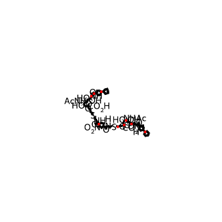 CC(=O)N[C@H]1[C@H]([C@H](O)[C@H](O)CNC(=O)c2ccc(-c3ccccc3)cc2)O[C@@](OCCCSCCNC(=O)c2ccc(C(=O)NCCSCCCO[C@]3(C(=O)O)C[C@H](O)[C@@H](NC(C)=O)[C@H]([C@H](O)[C@H](O)CNC(=O)c4ccc(-c5ccccc5)cc4)O3)c([N+](=O)[O-])c2)(C(=O)O)C[C@@H]1O